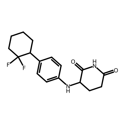 O=C1CCC(Nc2ccc(C3CCCCC3(F)F)cc2)C(=O)N1